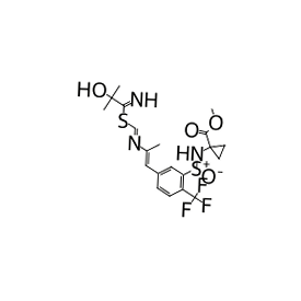 COC(=O)C1(N[S+]([O-])c2cc(/C=C(C)/N=C/SC(=N)C(C)(C)O)ccc2C(F)(F)F)CC1